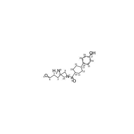 NC1(CCC=O)CN(C(=O)C2CCC(c3ccc(O)cc3)CC2)C1